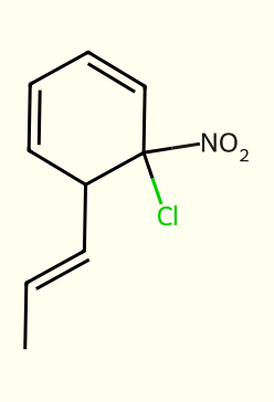 CC=CC1C=CC=CC1(Cl)[N+](=O)[O-]